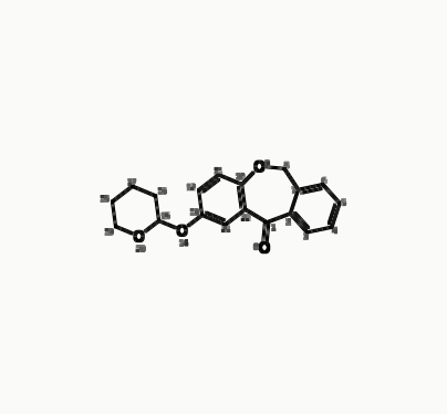 O=C1c2ccccc2COc2ccc(OC3CCCCO3)cc21